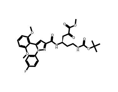 COC(=O)C(=O)C[C@@H](CCNC(=O)OC(C)(C)C)NC(=O)c1cc(-c2c(OC)cccc2OC)n(-c2ccc(F)cc2)n1